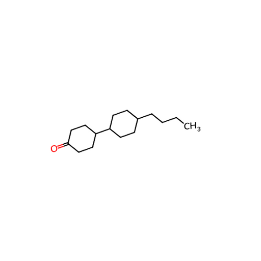 CCCCC1CCC(C2CCC(=O)CC2)CC1